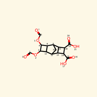 O=COC1C(OC=O)C2C3CC(C12)C1C(C(=O)O)C(C(=O)O)C31